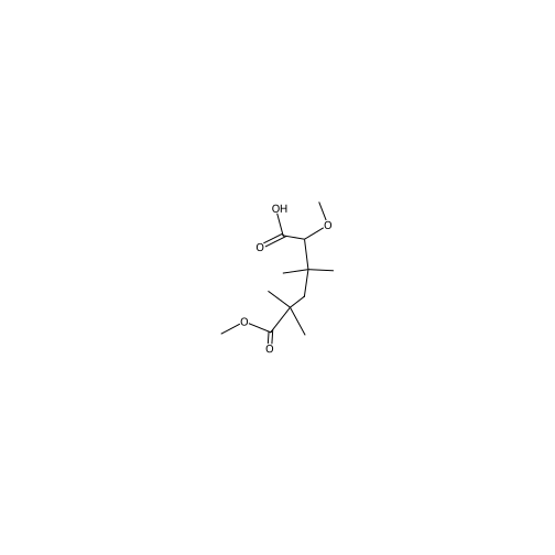 COC(=O)C(C)(C)CC(C)(C)C(OC)C(=O)O